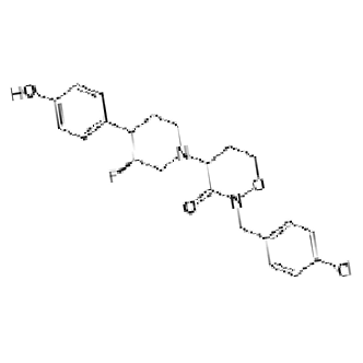 O=C1C(N2CCC(c3ccc(O)cc3)[C@H](F)C2)CCON1Cc1ccc(Cl)cc1